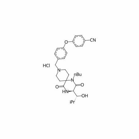 CCCCN1C(=O)[C@@H]([C@H](O)C(C)C)NC(=O)C12CCN(Cc1ccc(Oc3ccc(C#N)cc3)cc1)CC2.Cl